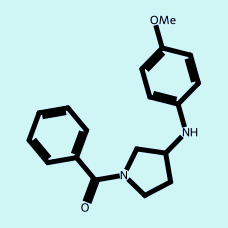 COc1ccc(NC2CCN(C(=O)c3ccccc3)C2)cc1